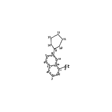 CCc1cccc2ccc(C3CCCCC3)cc12